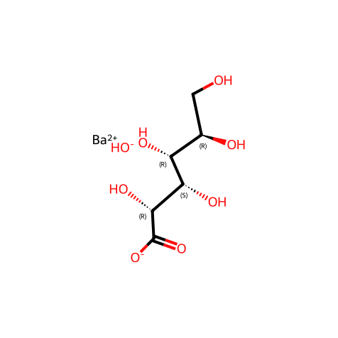 O=C([O-])[C@H](O)[C@@H](O)[C@H](O)[C@H](O)CO.[Ba+2].[OH-]